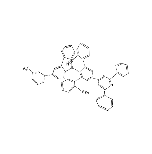 Cc1cccc(-c2ccc3c(c2)c2ccccc2n3-c2c(-c3ccccc3C#N)cc(-c3cc(-c4ccccc4)nc(-c4ccccc4)n3)cc2-c2ccccc2C#N)c1